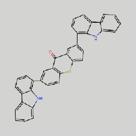 O=c1c2cc(-c3cccc4c3[nH]c3ccccc34)ccc2sc2ccc(-c3cccc4c3[nH]c3ccccc34)cc12